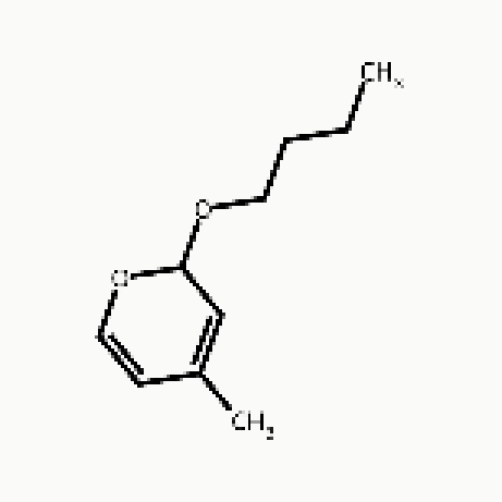 CCCCOC1C=C(C)C=CO1